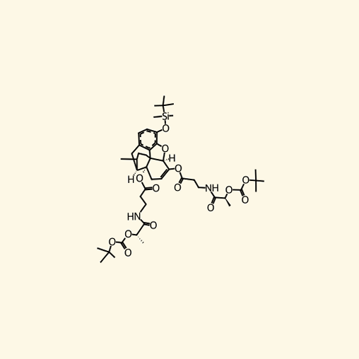 CC1CCC23c4c5ccc(O[Si](C)(C)C(C)(C)C)c4O[C@H]2C(OC(=O)CCNC(=O)[C@H](C)OC(=O)OC(C)(C)C)=CC[C@@]3(OC(=O)CCNC(=O)[C@H](C)OC(=O)OC(C)(C)C)[C@H]1C5